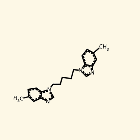 Cc1ccc2c(c1)ncn2CCCCCn1cnc2cc(C)ccc21